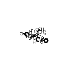 CC(C)(C)OC(=O)N[C@@H]1CN(S(=O)(=O)c2ccccc2)CC[C@@H]1NC(=O)C(=O)Nc1ccc(Cl)cn1